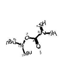 CCC[CH2][Ni]([CH2]CCC)[O]C(=O)N(S)S